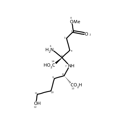 COC(=O)CC[C@@](N)(N[C@@H](CCCO)C(=O)O)C(=O)O